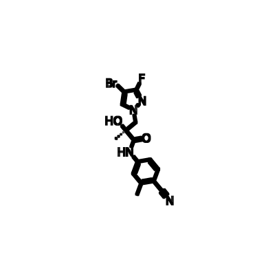 Cc1cc(NC(=O)[C@@](C)(O)Cn2cc(Br)c(F)n2)ccc1C#N